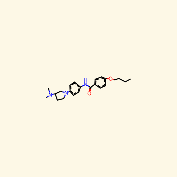 CCCCOc1ccc(C(=O)Nc2ccc(N3CCC(N(C)C)C3)cc2)cc1